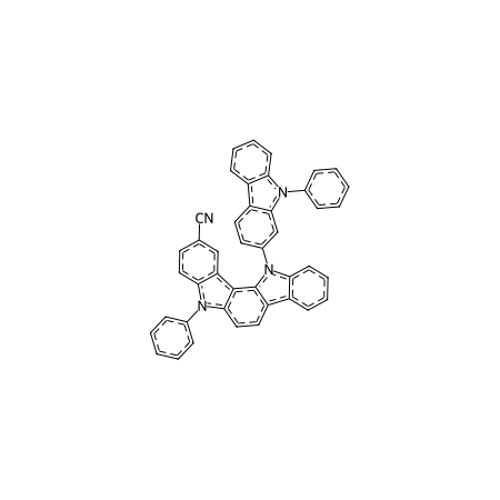 N#Cc1ccc2c(c1)c1c(ccc3c4ccccc4n(-c4ccc5c6ccccc6n(-c6ccccc6)c5c4)c31)n2-c1ccccc1